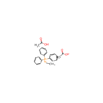 CC(=O)O.CC(=O)O.CC[PH](c1ccccc1)(c1ccccc1)c1ccccc1